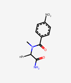 CCCC(C(N)=O)N(C)C(=O)c1ccc([N+](=O)[O-])cc1